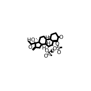 C=C1C[C@H]2[C@@H]3[C@@H](OS(C)(=O)=O)[C@@H](OS(C)(=O)=O)C4=CC(=O)CC[C@]4(C)[C@H]3CC[C@]2(C)[C@@]1(O)C(C)=O